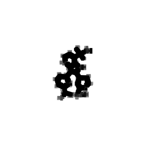 CC(=O)Nc1cc(-c2[nH]c3c(C(C)(C)O)ccnc3c2-c2cccc(C(F)F)n2)ccn1